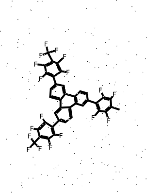 Cc1c(F)c(F)c(-c2ccc3c(c2)c2ccc(-c4c(F)c(F)c(C(F)(F)F)c(F)c4F)cc2c2ccc(-c4c(F)c(F)c(C(F)(F)F)c(F)c4F)cc32)c(F)c1F